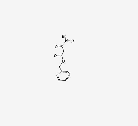 CCN(CC)C(=O)CC(=O)OCc1ccccc1